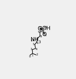 CC(C)CCCCCCCS(=O)(=O)O.N